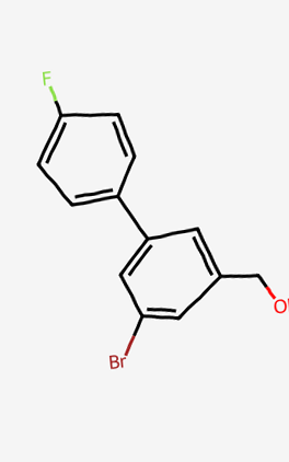 OCc1cc(Br)cc(-c2ccc(F)cc2)c1